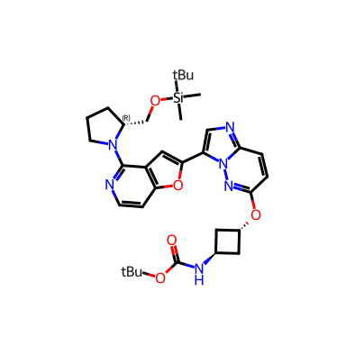 CC(C)(C)OC(=O)N[C@H]1C[C@H](Oc2ccc3ncc(-c4cc5c(N6CCC[C@@H]6CO[Si](C)(C)C(C)(C)C)nccc5o4)n3n2)C1